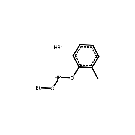 Br.CCOPOc1ccccc1C